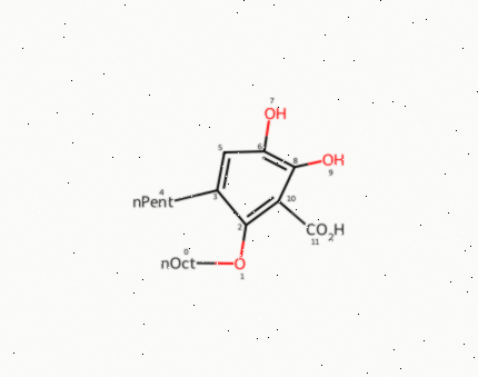 CCCCCCCCOc1c(CCCCC)cc(O)c(O)c1C(=O)O